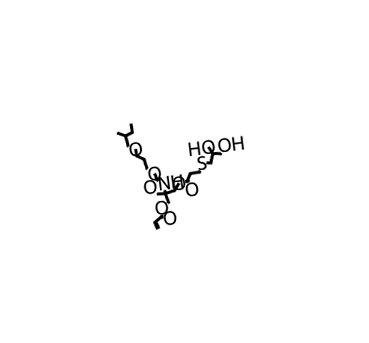 C=CC(=O)OCC(C)(COC(=O)CCSCC(O)CO)NC(=O)OCCCOCC(C)CC